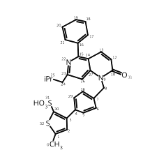 Cc1cc(-c2ccc(Cn3c(=O)ccc4c(-c5ccccc5)nc(CC(C)C)cc43)cc2)c(S(=O)(=O)O)s1